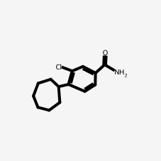 NC(=O)c1ccc(C2CCCCCC2)c(Cl)c1